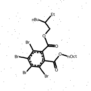 CCCCCCCCOC(=O)c1c(Br)c(Br)c(Br)c(Br)c1C(=O)OCC(CC)CCCC